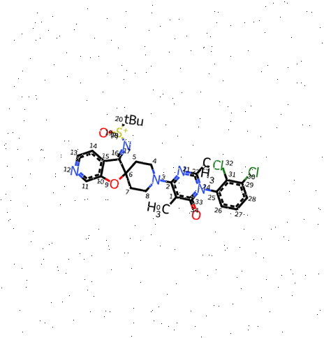 Cc1c(N2CCC3(CC2)Oc2cnccc2C3=N[S@@+]([O-])C(C)(C)C)nc(C)n(-c2cccc(Cl)c2Cl)c1=O